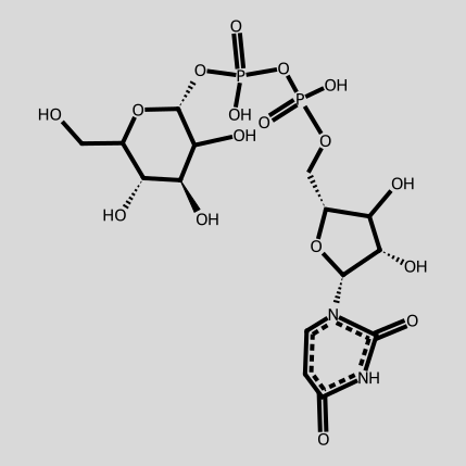 O=c1ccn([C@@H]2O[C@H](COP(=O)(O)OP(=O)(O)O[C@H]3OC(CO)[C@@H](O)[C@H](O)C3O)C(O)[C@@H]2O)c(=O)[nH]1